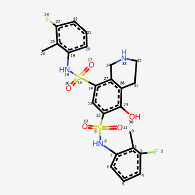 Cc1c(F)cccc1NS(=O)(=O)c1cc(S(=O)(=O)Nc2cccc(F)c2C)c2c(c1O)CCNC2